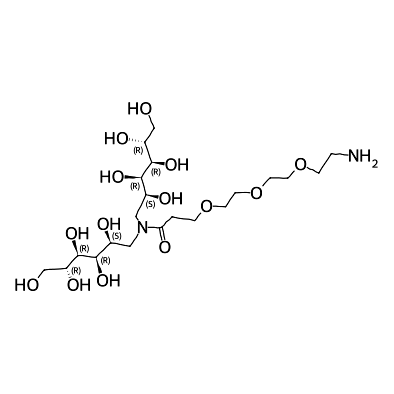 NCCOCCOCCOCCC(=O)N(C[C@H](O)[C@@H](O)[C@H](O)[C@H](O)CO)C[C@H](O)[C@@H](O)[C@H](O)[C@H](O)CO